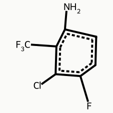 Nc1ccc(F)c(Cl)c1C(F)(F)F